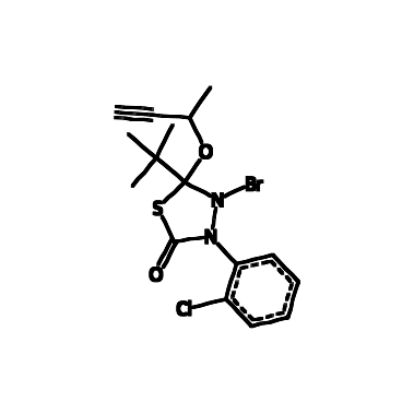 C#CC(C)OC1(C(C)(C)C)SC(=O)N(c2ccccc2Cl)N1Br